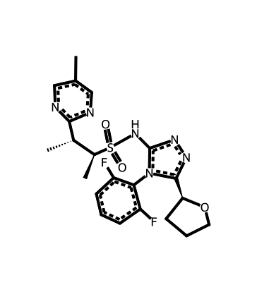 Cc1cnc([C@@H](C)[C@H](C)S(=O)(=O)Nc2nnc([C@@H]3CCCO3)n2-c2c(F)cccc2F)nc1